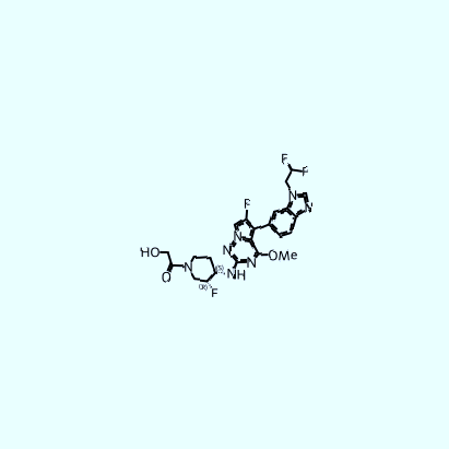 COc1nc(N[C@H]2CCN(C(=O)CO)C[C@H]2F)nn2cc(F)c(-c3ccc4ncn(CC(F)F)c4c3)c12